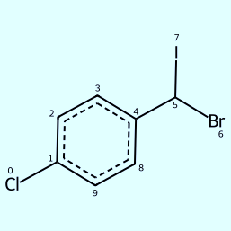 Clc1ccc(C(Br)I)cc1